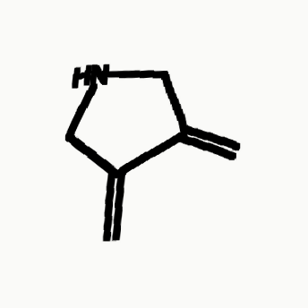 C=C1CNCC1=C